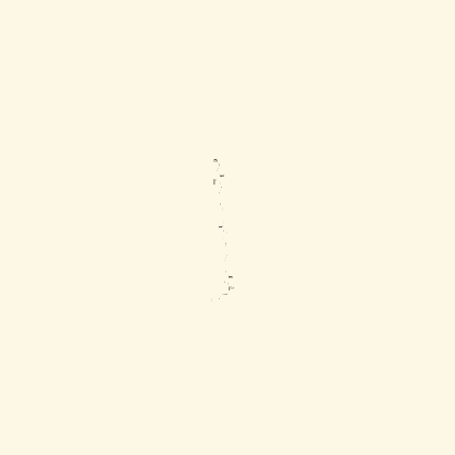 CC(=O)CC[C@H](NC(=O)COCCOCCNC(=O)COCCOCCNC(=O)CC[C@H](C)C(=O)O)C(=O)O